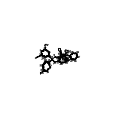 Cc1cc(F)cc([C@@](CNC(=O)C(O)(c2ccccc2)C(F)(F)F)(Cc2ccccc2)c2ccc(F)cn2)c1